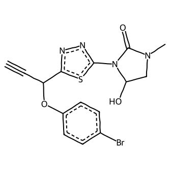 C#CC(Oc1ccc(Br)cc1)c1nnc(N2C(=O)N(C)CC2O)s1